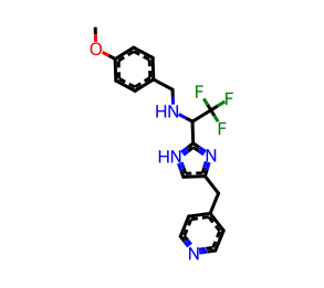 COc1ccc(CNC(c2nc(Cc3ccncc3)c[nH]2)C(F)(F)F)cc1